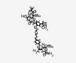 Cc1ncsc1-c1ccc(CNC(=O)[C@@H]2C[C@@H](O)CN2C(=O)[C@@H](NC(=O)C2(F)CC2)C(C)(C)C)c(OCCOCCCc2ccc(CO[C@H](C)[C@H](CCC(N)=O)NC(=O)OC(C)(C)C)cc2)c1